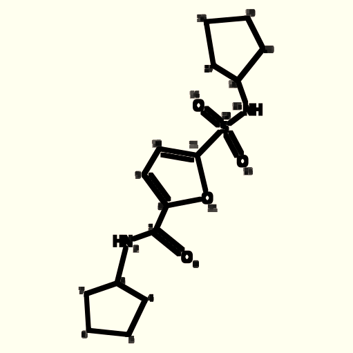 O=C(NC1CCCC1)c1ccc(S(=O)(=O)NC2CCCC2)o1